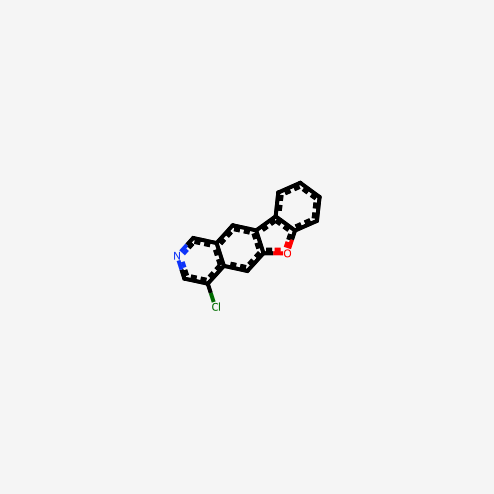 Clc1cncc2cc3c(cc12)oc1ccccc13